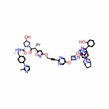 Cc1nccn1-c1ccc([C@H](C)NC(=O)[C@@H]2C[C@@H](O)CN2C(=O)[C@@H](c2cc(OCC#Cc3ncc(O[C@H]4C[C@H](Oc5cc(N6C7CCC6CN(c6cc(-c8ccccc8O)nnc6N)C7)ccn5)C4)cn3)no2)C(C)C)cc1